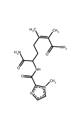 CC(CCC(NC(=O)c1nccn1C)C(N)=O)=C(C)C(N)=O